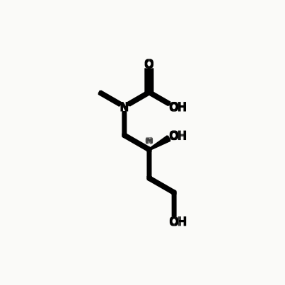 CN(C[C@@H](O)CCO)C(=O)O